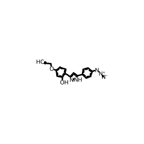 C#CCOc1ccc(-c2cc(-c3ccc(N=[N+]=[N-])cc3)[nH]n2)c(O)c1